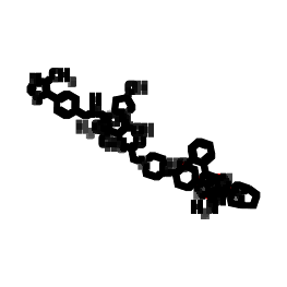 Cc1ncsc1-c1ccc(CNC(=O)[C@@H]2C[C@@H](O)CN2C(O)[C@@H](NC(=O)CN2CCN(C3CCC(c4cnc(N5C6CCC5CN(c5cc(-c7ccccc7O)nnc5N)C6)nc4)CC3)CC2)C(C)(C)C)cc1